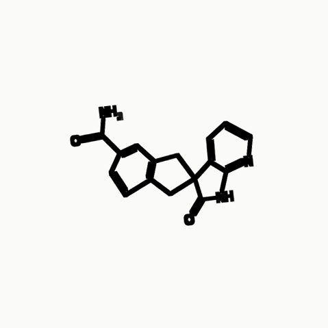 NC(=O)c1ccc2c(c1)CC1(C2)C(=O)Nc2ncccc21